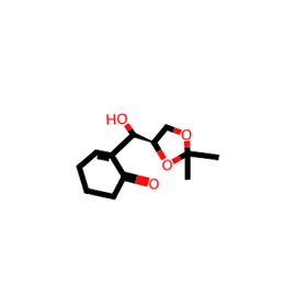 CC1(C)OC[C@H](C(O)C2=CCCCC2=O)O1